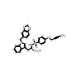 CC#CCOc1ccc(S(=O)(=O)N[C@H](Cc2cn(Cc3ccc4c(c3)OCO4)c3ccccc23)C(=O)O)cc1